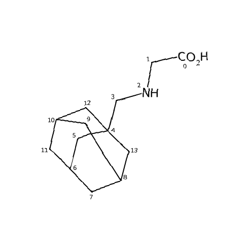 O=C(O)CNCC12CC3CC(CC(C3)C1)C2